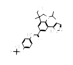 CC(C)N1CC(C)(CO)c2cc(C(=O)Nc3ccc(OC(F)(F)Cl)cc3)cc(-c3ccn[nH]3)c21